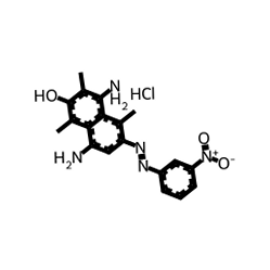 Cc1c(O)c(C)c2c(N)cc(N=Nc3cccc([N+](=O)[O-])c3)c(C)c2c1N.Cl